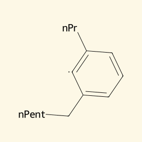 CCCCCCc1[c]c(CCC)ccc1